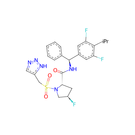 CC(C)c1c(F)cc([C@@H](NC(=O)[C@@H]2C[C@@H](F)CN2S(=O)(=O)Cc2cnn[nH]2)c2ccccc2)cc1F